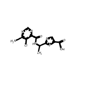 CC(NC(=O)c1ncnc(N)c1Cl)c1ncc(C(=O)O)s1